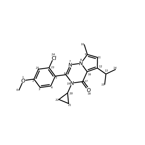 COc1ccc(-c2nn3c(C)cc(C(C)C)c3c(=O)n2C2CC2)c(Cl)c1